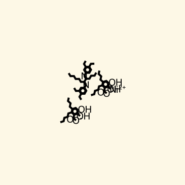 CCCCCCC(=Nc1ccc(CC)c(CC)c1)C(CCCC)=Nc1ccc(CC)c(CC)c1.CCCCCc1c(CCCC)cc(O)c(O)c1C(=O)[O-].CCCCCc1c(CCCC)cc(O)c(O)c1C(=O)[O-].[Ni+2]